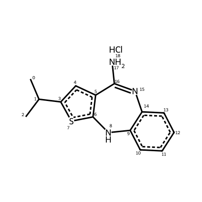 CC(C)c1cc2c(s1)Nc1ccccc1N=C2N.Cl